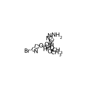 CC1(C)OC[C@H]2[C@@H](O1)[C@H](n1ccc3c(N)ncnc31)O[C@@H]2COc1ccc2cc(Br)cnc2c1